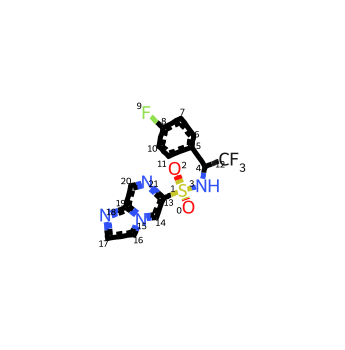 O=S(=O)(NC(c1ccc(F)cc1)C(F)(F)F)c1cn2ccnc2cn1